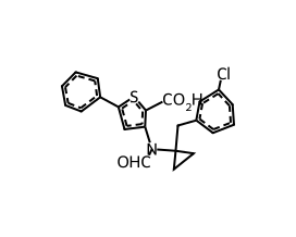 O=CN(c1cc(-c2ccccc2)sc1C(=O)O)C1(Cc2cccc(Cl)c2)CC1